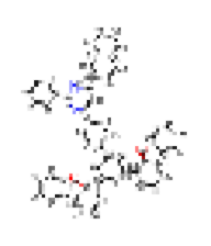 c1ccc(-c2nc(-c3ccc(-c4cc(-c5cccc6c5oc5ccccc56)cc(-c5cccc6c5oc5ccccc56)c4)cc3)cc(-c3ccc4ccccc4c3)n2)cc1